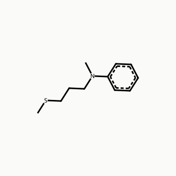 CSCCCN(C)c1ccccc1